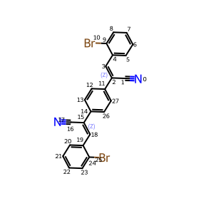 N#C/C(=C\c1ccccc1Br)c1ccc(/C(C#N)=C/c2ccccc2Br)cc1